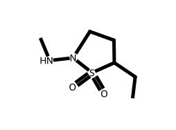 CCC1CCN(NC)S1(=O)=O